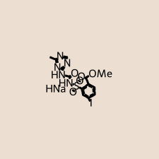 COC(=O)c1ccc(I)cc1S(=O)(=O)NC(=O)Nc1ncnc(C)n1.[NaH]